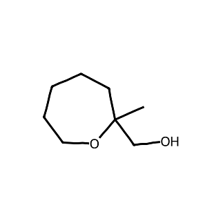 CC1(CO)CCCCCO1